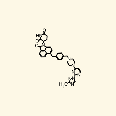 Cc1ncn(-c2nccc(N3CCN(Cc4ccc(Cc5ccc6c7c(cccc57)C(=O)N6C5CCC(=O)NC5=O)cc4)CC3)n2)n1